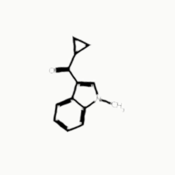 Cn1cc(C(=O)C2CC2)c2ccccc21